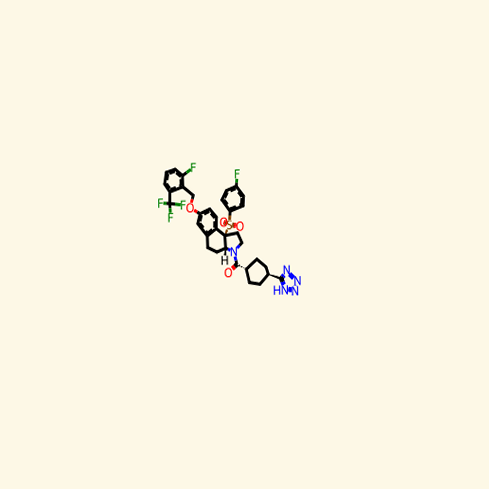 O=C([C@H]1CC[C@H](c2nnn[nH]2)CC1)N1CC[C@@]2(S(=O)(=O)c3ccc(F)cc3)c3ccc(OCc4c(F)cccc4C(F)(F)F)cc3CC[C@@H]12